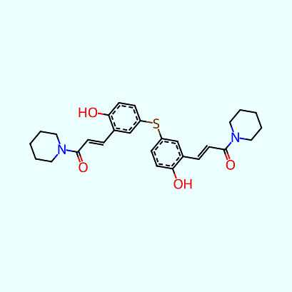 O=C(/C=C/c1cc(Sc2ccc(O)c(/C=C/C(=O)N3CCCCC3)c2)ccc1O)N1CCCCC1